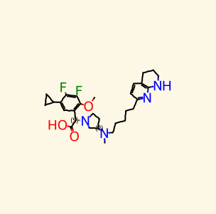 COc1c([C@@H](C(=O)O)N2CC[C@@H](N(C)CCCCCc3ccc4c(n3)NCCC4)C2)cc(C2CC2)c(F)c1F